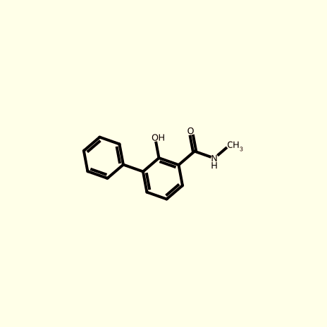 CNC(=O)c1cccc(-c2ccccc2)c1O